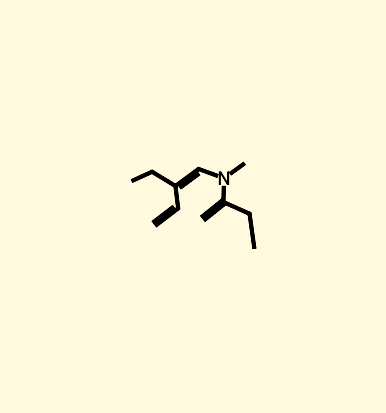 C=C/C(=C\N(C)C(=C)CC)CC